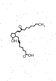 CCCCCCCC(=O)/C=C/C1CCC(O)C1CC#CCCCCC(=O)O